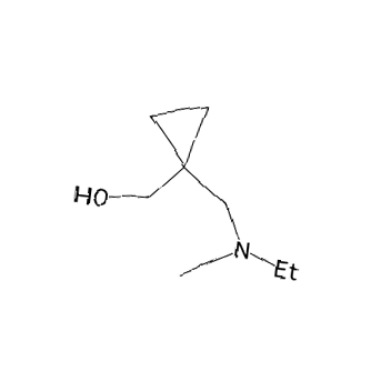 CCN(C)CC1(CO)CC1